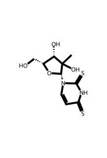 CC1(O)[C@@H](O)[C@@H](CO)O[C@H]1n1ccc(=S)[nH]c1=S